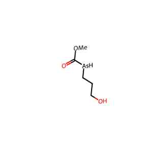 COC(=O)[AsH]CCCO